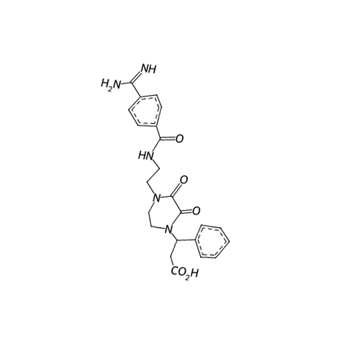 N=C(N)c1ccc(C(=O)NCCN2CCN(C(CC(=O)O)c3ccccc3)C(=O)C2=O)cc1